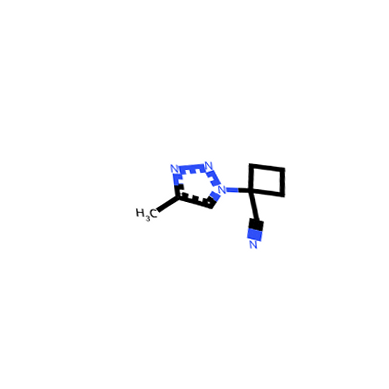 Cc1cn(C2(C#N)CCC2)nn1